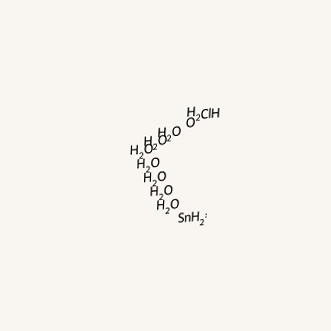 Cl.O.O.O.O.O.O.O.O.[SnH2]